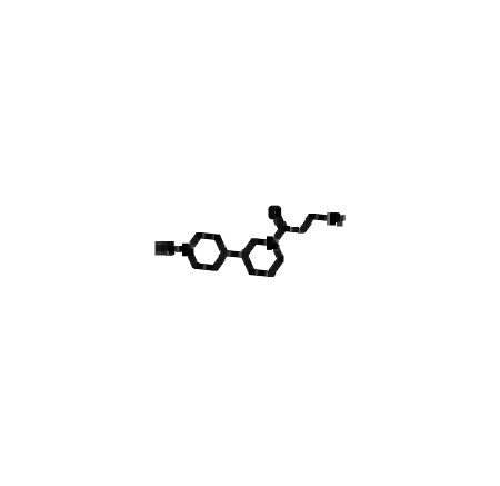 CC(C)CCC(=O)N1CCCC(C2CCN(S)CC2)C1